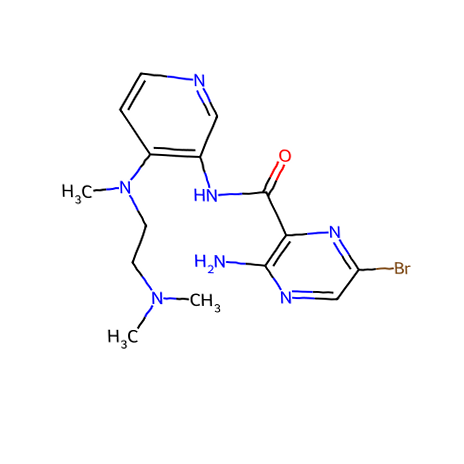 CN(C)CCN(C)c1ccncc1NC(=O)c1nc(Br)cnc1N